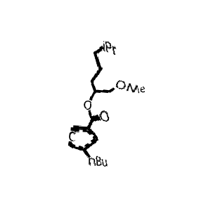 CCCCc1cccc(C(=O)OC(CCCC(C)C)COC)c1